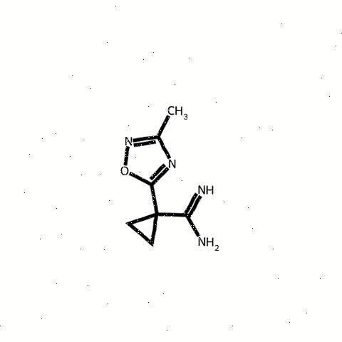 Cc1noc(C2(C(=N)N)CC2)n1